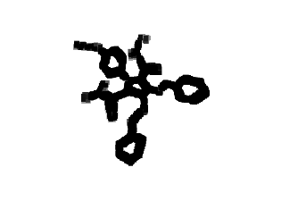 CCNC(=O)c1c(OCc2ccccc2)c(OCc2ccccc2)c(C(=O)NCC)n1-c1ccc(OC)cc1